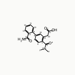 CN(C)C(=O)c1ccc(-c2ccccc2C(N)=O)cc1CC(=O)O